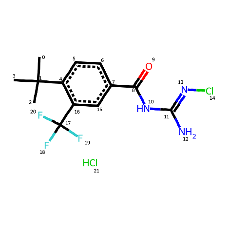 CC(C)(C)c1ccc(C(=O)NC(N)=NCl)cc1C(F)(F)F.Cl